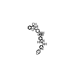 C[C@@H](NC(=O)C1CCC(NS(=O)(=O)c2ccc3[nH]c(Nc4ccc(N5CCOCC5)nc4)nc3c2)CC1)c1ccccc1